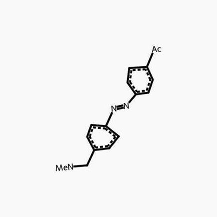 CNCc1ccc(/N=N/c2ccc(C(C)=O)cc2)cc1